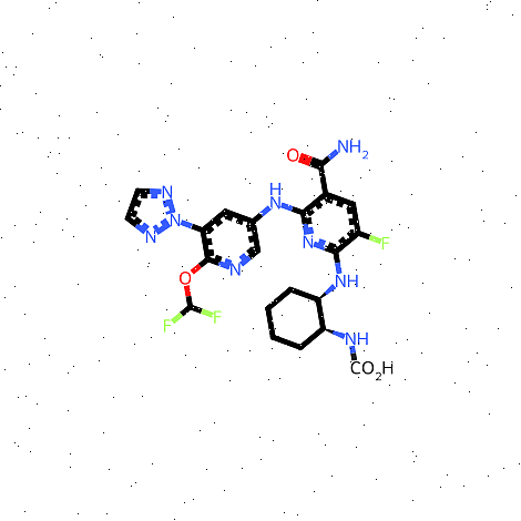 NC(=O)c1cc(F)c(N[C@@H]2CCCC[C@@H]2NC(=O)O)nc1Nc1cnc(OC(F)F)c(-n2nccn2)c1